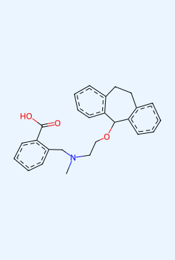 CN(CCOC1c2ccccc2CCc2ccccc21)Cc1ccccc1C(=O)O